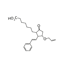 C=CCOC1CC(=O)C(CCCCCCC(=O)O)C1C=Cc1ccccc1